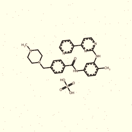 Cc1ccc(NC(=O)c2ccc(CN3CCN(C)CC3)cc2)cc1Nc1nccc(-c2cccnc2)n1.O=S(=O)(O)O